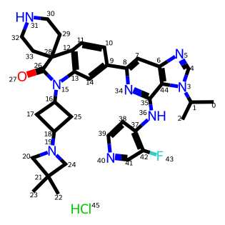 CC(C)n1cnc2cc(-c3ccc4c(c3)N(C3CC(N5CC(C)(C)C5)C3)C(=O)C43CCNCC3)nc(Nc3ccncc3F)c21.Cl